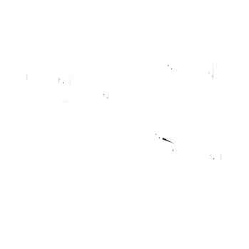 CNC(=O)c1coc(-c2cnc3[nH]ccc3c2N[C@@H]2CCCNC2)n1